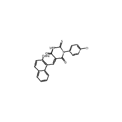 COc1ccc2ccccc2c1/C=C1\C(=O)NC(=S)N(c2ccc(Cl)cc2)C1=O